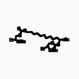 CCCCC(CCCCCCCCCCOC(=O)OCC(CC)OC)OC(=O)OCC(CC)OC